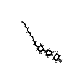 CCCCCCCCCC=Cc1ccc(-c2ccc([C@H]3CC[C@H](F)CC3)cc2)cc1